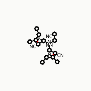 N#Cc1ccc(-c2cc(-c3nc(-c4cccc(-c5ccccc5C#N)c4)nc(-c4ccc(-n5c6ccc(-c7ccccc7)cc6c6cc(-c7ccccc7)ccc65)c(-c5ccc(C#N)cc5)c4)n3)ccc2-n2c3ccc(-c4ccccc4)cc3c3cc(-c4ccccc4)ccc32)cc1